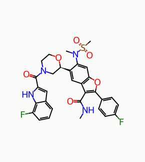 CNC(=O)c1c(-c2ccc(F)cc2)oc2cc(N(C)S(C)(=O)=O)c([C@H]3CN(C(=O)c4cc5cccc(F)c5[nH]4)CCO3)cc12